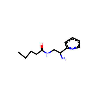 CCCCC(=O)NCC(N)c1ccccn1